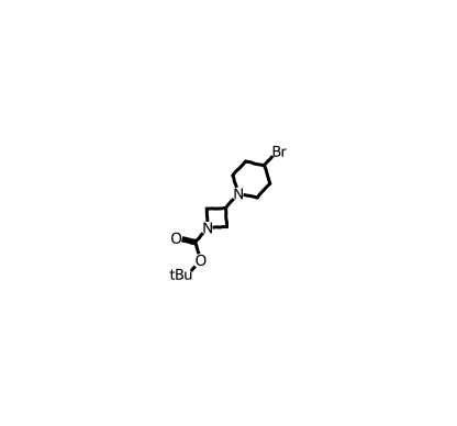 CC(C)(C)OC(=O)N1CC(N2CCC(Br)CC2)C1